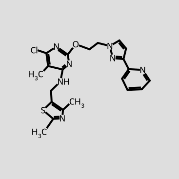 Cc1nc(C)c(CNc2nc(OCCn3ccc(-c4ccccn4)n3)nc(Cl)c2C)s1